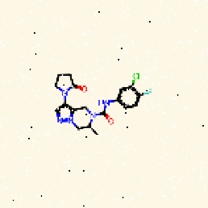 C[C@H]1Cn2ncc(N3CCCC3=O)c2CN1C(=O)Nc1ccc(F)c(Cl)c1